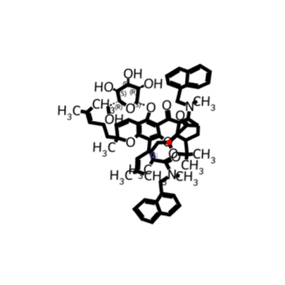 CC(C)=CCCC1(C)C=Cc2c(c(CC=C(C)C)c3c(c2O[C@@H]2O[C@H](CO)[C@@H](O)[C@@H](O)[C@H]2O)C(=O)C2C(N(C)Cc4cccc5ccccc45)C4CC5C(C)(C)OC(C/C=C(/C)C(=O)N(C)Cc6cccc7ccccc67)(C4=O)C25O3)O1